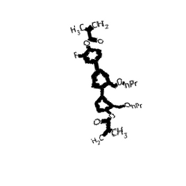 C=C(C)C(=O)Oc1ccc(-c2ccc(-c3ccc(OC(=O)C(=C)C)c(COCCC)c3)c(COCCC)c2)cc1F